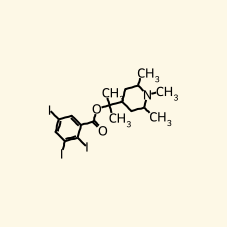 CC1CC(C(C)(C)OC(=O)c2cc(I)cc(I)c2I)CC(C)N1C